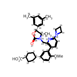 COc1ccc([C@H]2CC[C@H](C(=O)O)CC2)cc1-c1ccc(N2CCC2)nc1CN1C(=O)O[C@H](c2cc(C)cc(C)c2)[C@@H]1C